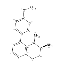 COc1ncc(-c2cccc3c2C(N)[C@@H](N)CC3)cn1